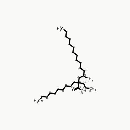 CCCCCCCCCCCCC(C)CC(CCC)(CCCCCCCCCC)C(=O)O